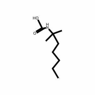 [CH2]CCCCC(C)(C)NC(=O)O